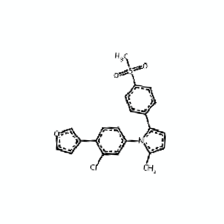 Cc1ccc(-c2ccc(S(C)(=O)=O)cc2)n1-c1ccc(-c2ccoc2)c(Cl)c1